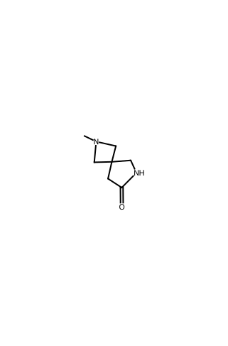 CN1CC2(CNC(=O)C2)C1